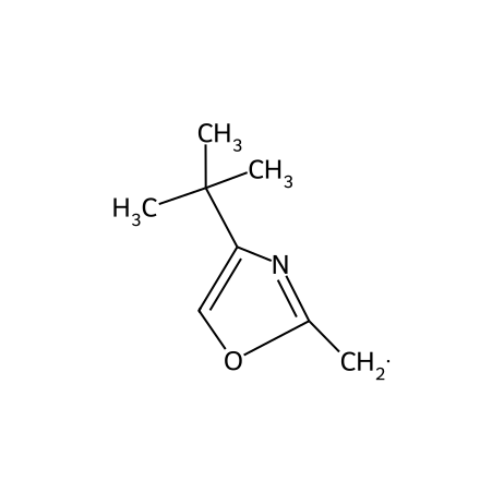 [CH2]c1nc(C(C)(C)C)co1